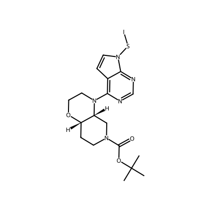 CC(C)(C)OC(=O)N1CC[C@@H]2OCCN(c3ncnc4c3ccn4SI)[C@@H]2C1